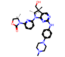 C[C@H]1COC(=O)N1c1cccc(N2c3nc(Nc4ccc(N5CCN(C)CC5)cc4)ncc3[C@@](C)(CO)[C@H]2C)n1